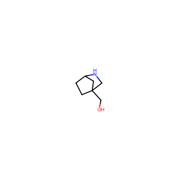 OCC12CCC(C1)NC2